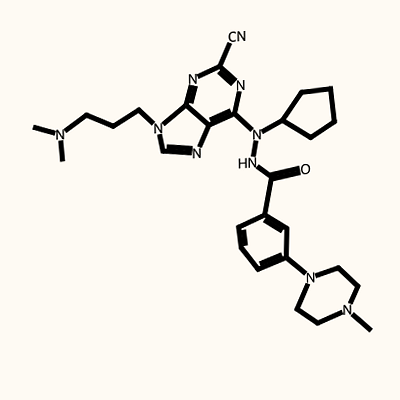 CN(C)CCCn1cnc2c(N(NC(=O)c3cccc(N4CCN(C)CC4)c3)C3CCCC3)nc(C#N)nc21